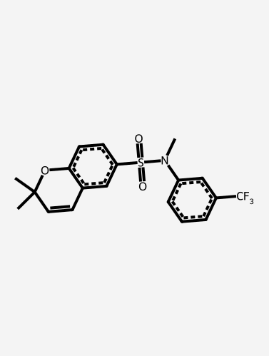 CN(c1cccc(C(F)(F)F)c1)S(=O)(=O)c1ccc2c(c1)C=CC(C)(C)O2